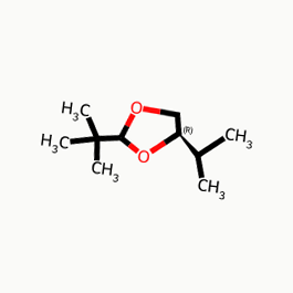 CC(C)[C@@H]1COC(C(C)(C)C)O1